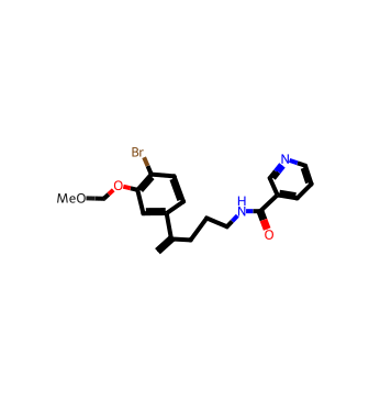 C=C(CCCNC(=O)c1cccnc1)c1ccc(Br)c(OCOC)c1